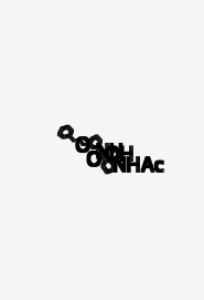 CC(=O)Nc1cccc(C(=O)Nc2cccc(OCCc3ccccc3)c2)c1O